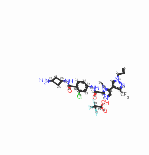 C=CCn1cc(-c2cnc(C(=O)Nc3ccc(C(=O)NC4CC(N)C4)c(Cl)c3)n2C)c(C(F)(F)F)n1.O=C(O)C(F)(F)F